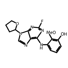 COc1c(O)cccc1Nc1nc(F)nc2c1ncn2C1CCCO1